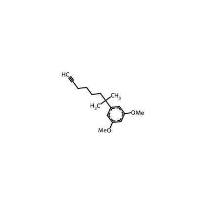 C#CCCCCC(C)(C)c1cc(OC)cc(OC)c1